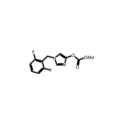 COC(=O)Oc1cn(Cc2c(F)cccc2F)cn1